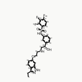 CCc1n[nH]c2cc(OCCNC[C@H](O)c3cccc(NS(=O)(=O)c4ccc(F)c(F)c4F)c3)ccc12